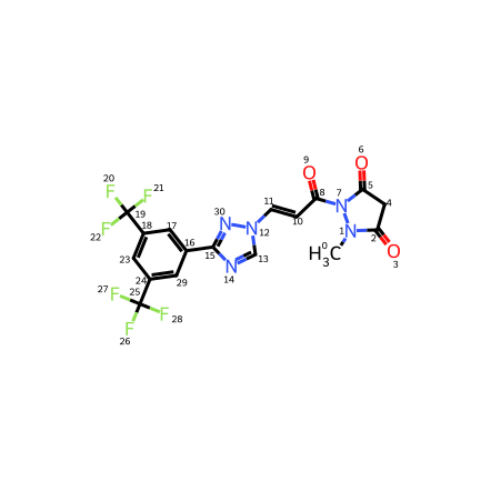 CN1C(=O)CC(=O)N1C(=O)C=Cn1cnc(-c2cc(C(F)(F)F)cc(C(F)(F)F)c2)n1